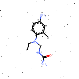 CCN(CNC(N)=O)c1ccc(N)cc1C